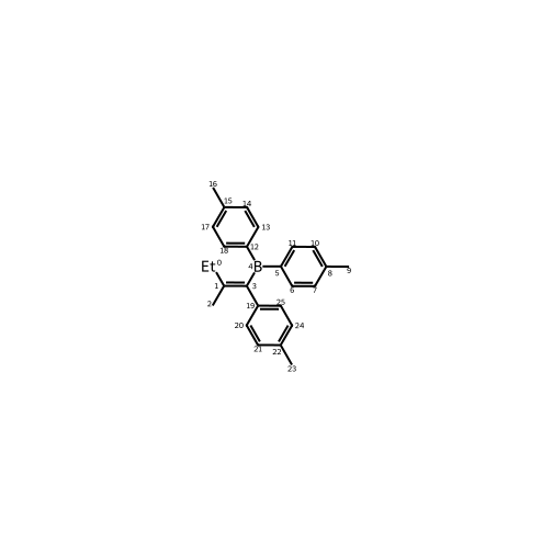 CC/C(C)=C(\B(c1ccc(C)cc1)c1ccc(C)cc1)c1ccc(C)cc1